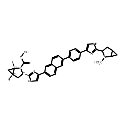 CC(C)(C)OC(=O)N1[C@H](c2nc(-c3ccc4cc(-c5ccc(-c6c[nH]c(C7CC8CC8N7C(=O)O)n6)cc5)ccc4c3)c[nH]2)C[C@@H]2C[C@@H]21